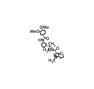 COc1ccc(C(=O)Nc2cccc(C(C)(C)CNC(=O)c3nn(C)c4ccccc34)c2)cc1OC